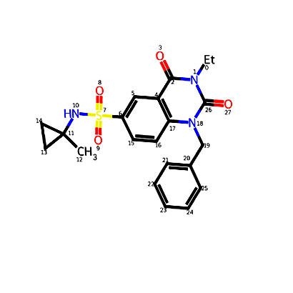 CCn1c(=O)c2cc(S(=O)(=O)NC3(C)CC3)ccc2n(Cc2ccccc2)c1=O